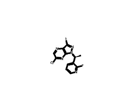 C[C@@H](c1cccnc1F)n1nc(I)c2ncc(Cl)nc21